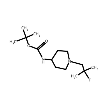 CC(C)(F)CN1CCC(NC(=O)OC(C)(C)C)CC1